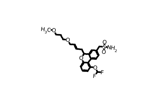 COCCCOC/C=C/CC1Oc2cccc(OC(F)F)c2-c2ccc(CS(N)(=O)=O)cc21